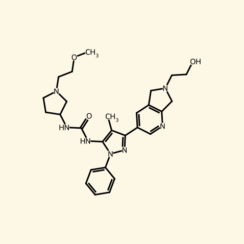 COCCN1CCC(NC(=O)Nc2c(C)c(-c3cnc4c(c3)CN(CCO)C4)nn2-c2ccccc2)C1